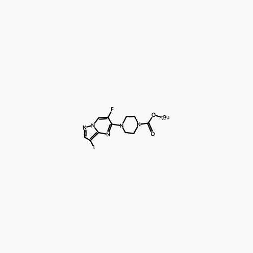 CC(C)(C)OC(=O)N1CCN(c2nc3c(I)cnn3cc2F)CC1